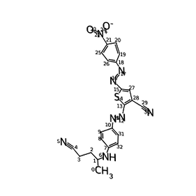 CC(CCC#N)Nc1ccc(N=Nc2sc(N=Nc3ccc([N+](=O)[O-])cc3)cc2C#N)cc1